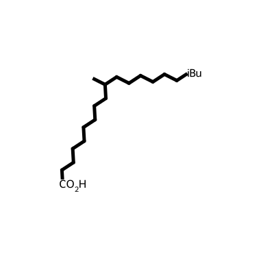 CCC(C)CCCCCCC(C)CCCCCCCCC(=O)O